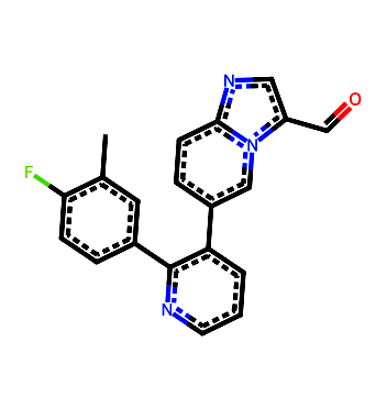 Cc1cc(-c2ncccc2-c2ccc3ncc(C=O)n3c2)ccc1F